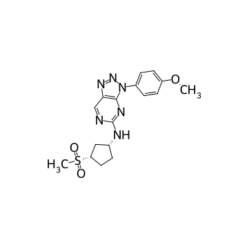 COc1ccc(-n2nnc3cnc(N[C@@H]4CC[C@H](S(C)(=O)=O)C4)nc32)cc1